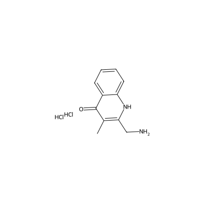 Cc1c(CN)[nH]c2ccccc2c1=O.Cl.Cl